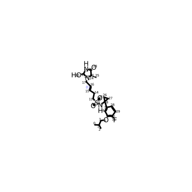 CC(C)COc1cc(C2(NS(=O)(=O)CC/C=C/CN3C(O)NC(=O)[C@H]3C)CC2)ccc1F